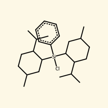 CC1CCC(C(C)C)C([Si](Cl)(c2ccccc2)C2CC(C)CCC2C(C)C)C1